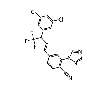 N#Cc1ccc(C=CC(c2cc(Cl)cc(Cl)c2)C(F)(F)F)cc1-n1cncn1